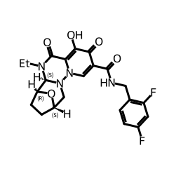 CCN1C(=O)c2c(O)c(=O)c(C(=O)NCc3ccc(F)cc3F)cn2N2C[C@@H]3CC[C@@H](O3)[C@@H]12